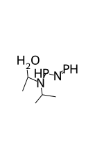 CC(C)N(PN=P)C(C)C.O